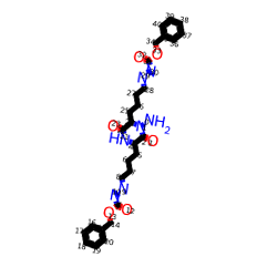 NN1C(=O)C(CCCCN=NC(=O)OCc2ccccc2)NC(=O)C1CCCCN=NC(=O)OCc1ccccc1